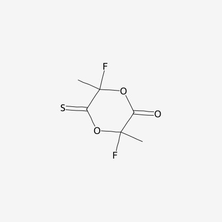 CC1(F)OC(=S)C(C)(F)OC1=O